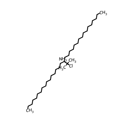 CCCCCCCCCCCCCCCCC(CCCCCCCCCCCCCCCC)C(C)(C)Cl.N